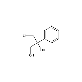 OCC(O)(CCl)c1c[c]ccc1